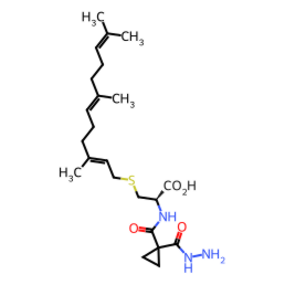 CC(C)=CCC/C(C)=C/CC/C(C)=C/CSC[C@H](NC(=O)C1(C(=O)NN)CC1)C(=O)O